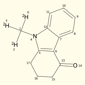 [2H]C([2H])([2H])n1c2c(c3ccccc31)C(=O)CCC2